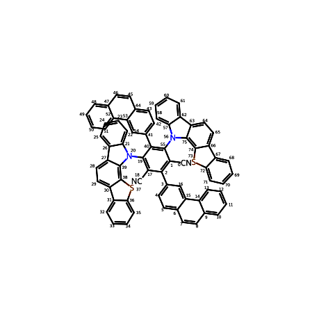 N#Cc1c(-c2ccc3ccc4ccccc4c3c2)c(C#N)c(-n2c3ccccc3c3ccc4c5ccccc5sc4c32)c(-c2ccc3ccc4ccccc4c3c2)c1-n1c2ccccc2c2ccc3c4ccccc4sc3c21